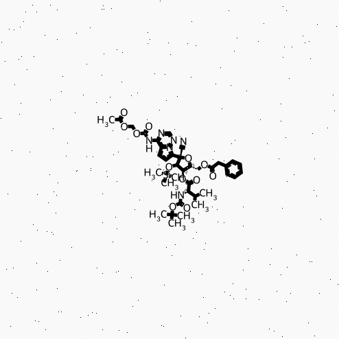 CC(=O)OCOC(=O)Nc1ncnn2c([C@]3(C#N)O[C@H](COC(=O)Cc4ccccc4)[C@@H](OC(=O)[C@@H](NC(=O)OC(C)(C)C)C(C)C)C3O[Si](C)(C)C)ccc12